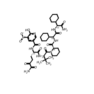 CC(C)(C)[C@H](NC(=O)[C@H](CCC(=O)C(N)=O)NC(=O)c1cnc(O)c([N+](=O)[O-])c1)C(=O)N1CCCC[C@@H]1C(=O)N[C@H](C(=O)N[C@H](C(N)=O)C1CCCCC1)C1CCCCC1